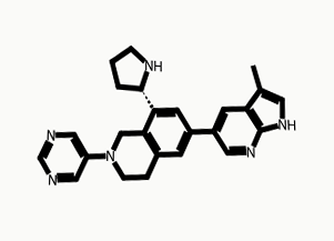 Cc1c[nH]c2ncc(-c3cc4c(c([C@@H]5CCCN5)c3)CN(c3cncnc3)CC4)cc12